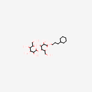 OCC1OC(OC2C(CO)OC(OCCCC3CCCCC3)C(O)C2O)C(O)C(O)C1O